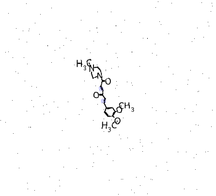 COc1ccc(/C=C/C(=O)/C=C/C(=O)N2CCN(C)CC2)cc1OC